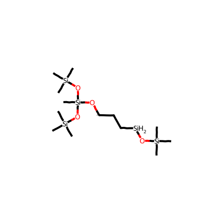 C[Si](C)(C)O[SiH2]CC[CH]O[Si](C)(O[Si](C)(C)C)O[Si](C)(C)C